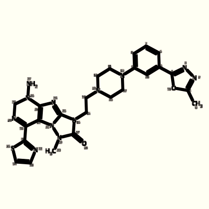 Cc1nnc(-c2cccc(N3CCN(CCn4c(=O)n(C)n5c6c(nc45)N(N)CN=C6c4nccs4)CC3)c2)o1